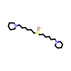 [O-][S+](CCCCCCN1CCCCC1)CCCCCCN1CCCCC1